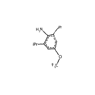 CC(C)c1cc(OC(F)(F)F)cc(C(C)C)c1N